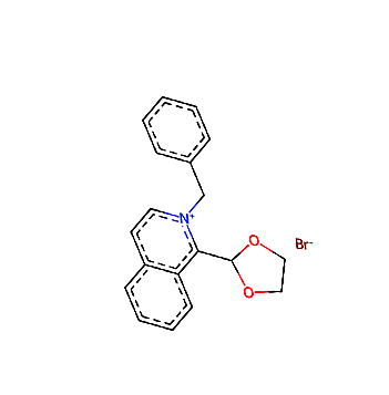 [Br-].c1ccc(C[n+]2ccc3ccccc3c2C2OCCO2)cc1